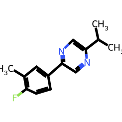 Cc1cc(-c2cnc(C(C)C)cn2)ccc1F